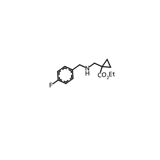 CCOC(=O)C1(CNCc2ccc(F)cc2)CC1